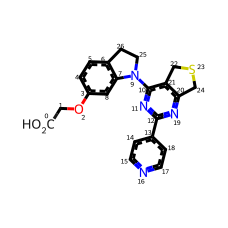 O=C(O)COc1ccc2c(c1)N(c1nc(-c3ccncc3)nc3c1CSC3)CC2